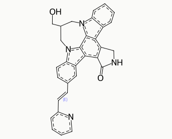 O=C1NCc2c1c1c3cc(/C=C/c4ccccn4)ccc3n3c1c1c2c2ccccc2n1CC(CO)C3